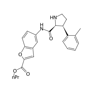 CCCOC(=O)c1cc2cc(NC(=O)[C@H]3NCC[C@H]3c3ccccc3C)ccc2o1